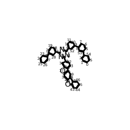 c1ccc(-c2cccc(-c3cccc(-c4nc(-c5cccc(-c6ccccc6)c5)nc(-c5ccc6c(c5)oc5cc7oc8ccccc8c7cc56)n4)c3)c2)cc1